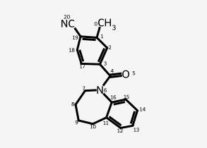 Cc1cc(C(=O)N2CCCCc3ccccc32)ccc1C#N